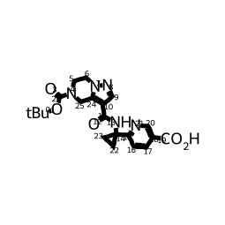 CC(C)(C)OC(=O)N1CCn2ncc(C(=O)NC3(c4ccc(C(=O)O)cn4)CC3)c2C1